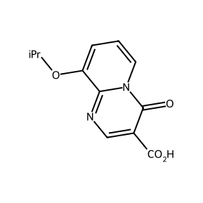 CC(C)Oc1cccn2c(=O)c(C(=O)O)cnc12